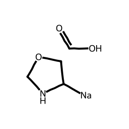 O=CO.[Na][CH]1COCN1